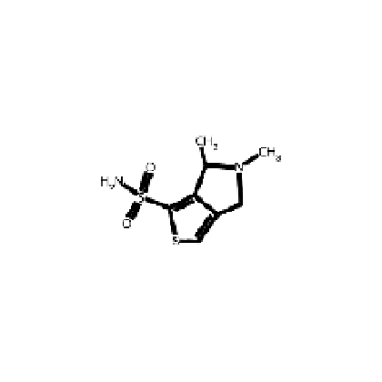 CC1c2c(csc2S(N)(=O)=O)CN1C